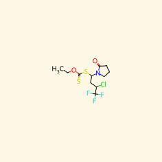 CCOC(=S)SC(CC(Cl)C(F)(F)F)N1CCCC1=O